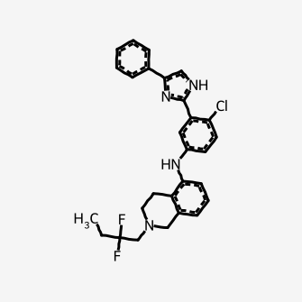 CCC(F)(F)CN1CCc2c(cccc2Nc2ccc(Cl)c(-c3nc(-c4ccccc4)c[nH]3)c2)C1